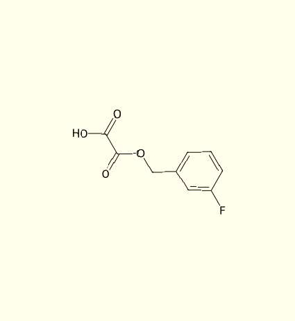 O=C(O)C(=O)OCc1cccc(F)c1